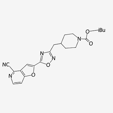 CCC(C)OC(=O)N1CCC(Cc2noc(-c3cc4c(C#N)nccc4o3)n2)CC1